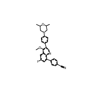 COc1c(-c2ccc(N3CC(C)OC(C)C3)cc2)cnc2c(-c3ccc(C#N)cc3)cc(F)cc12